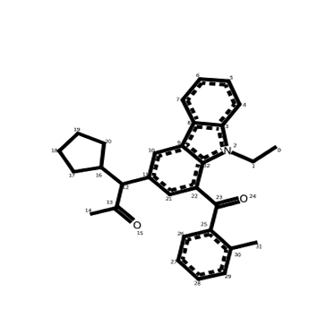 CCn1c2ccccc2c2cc(C(C(C)=O)C3CCCC3)cc(C(=O)c3ccccc3C)c21